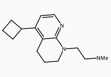 CNCCN1CCCc2c(C3CCC3)ccnc21